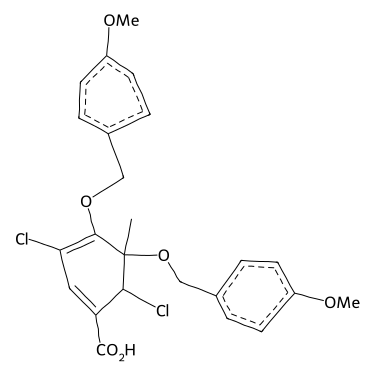 COc1ccc(COC2=C(Cl)C=C(C(=O)O)C(Cl)C2(C)OCc2ccc(OC)cc2)cc1